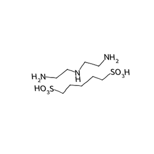 NCCNCCN.O=S(=O)(O)CCCCCS(=O)(=O)O